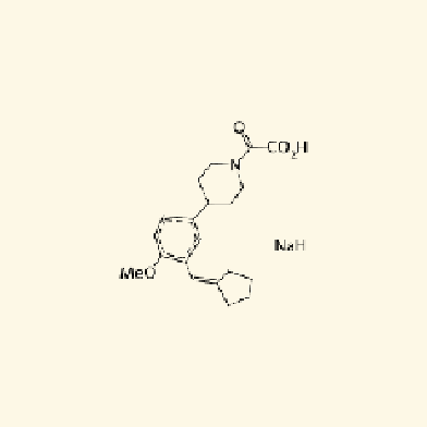 COc1ccc(C2CCN(C(=O)C(=O)O)CC2)cc1C=C1CCCC1.[NaH]